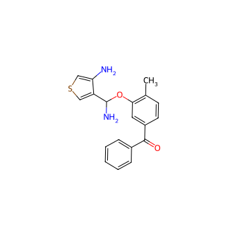 Cc1ccc(C(=O)c2ccccc2)cc1OC(N)c1cscc1N